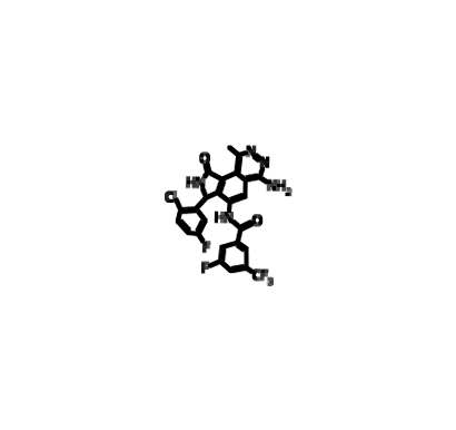 Cc1nnc(N)c2cc(NC(=O)c3cc(F)cc(C(F)(F)F)c3)c3c(c12)C(=O)NC3c1cc(F)ccc1Cl